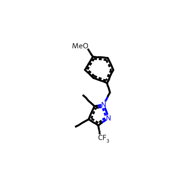 COc1ccc(Cn2nc(C(F)(F)F)c(C)c2C)cc1